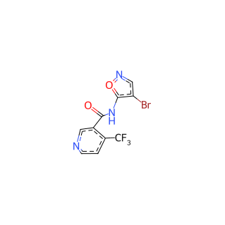 O=C(Nc1oncc1Br)c1cnccc1C(F)(F)F